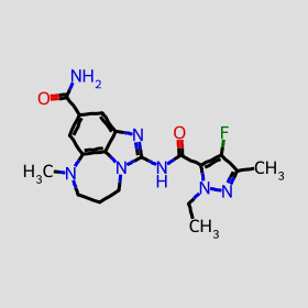 CCn1nc(C)c(F)c1C(=O)Nc1nc2cc(C(N)=O)cc3c2n1CCCN3C